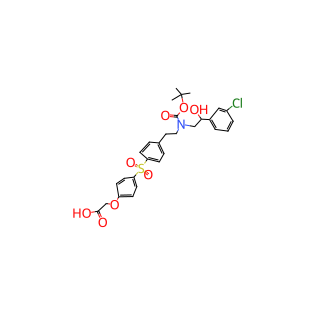 CC(C)(C)OC(=O)N(CCc1ccc(S(=O)(=O)c2ccc(OCC(=O)O)cc2)cc1)CC(O)c1cccc(Cl)c1